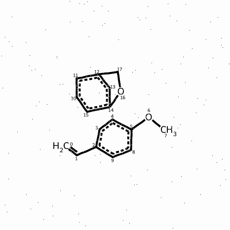 C=Cc1ccc(OC)cc1.c1cc2cc(c1)OC2